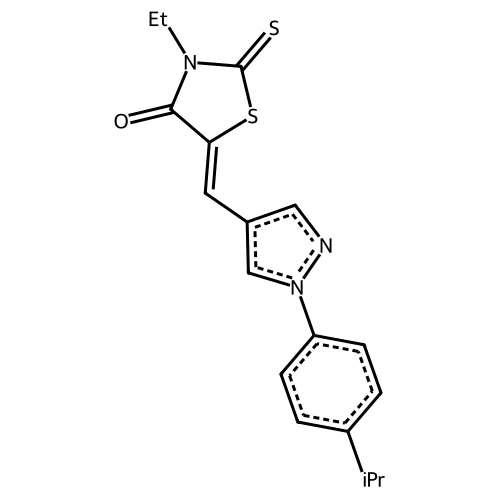 CCN1C(=O)/C(=C/c2cnn(-c3ccc(C(C)C)cc3)c2)SC1=S